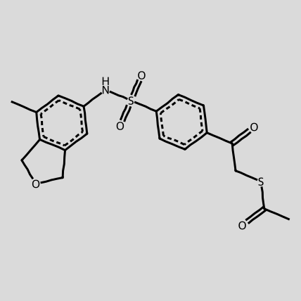 CC(=O)SCC(=O)c1ccc(S(=O)(=O)Nc2cc(C)c3c(c2)COC3)cc1